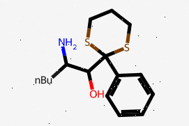 CCCCC(N)C(O)C1(c2ccccc2)SCCCS1